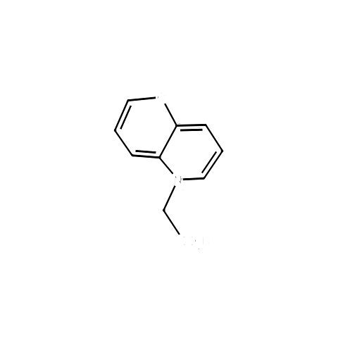 O=C(O)CN1C=CC=C2OC=CC=C21